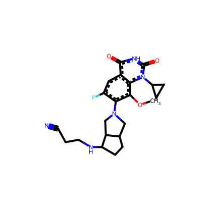 COc1c(N2CC3CCC(NCCC#N)C3C2)c(F)cc2c(=O)[nH]c(=O)n(C3CC3)c12